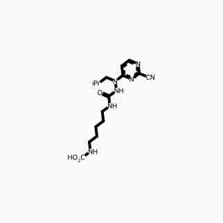 CC(C)CN(NC(=O)NCCCCCNC(=O)O)c1ccnc(C#N)n1